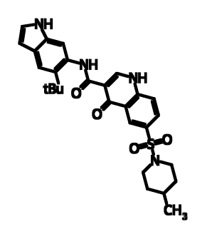 CC1CCN(S(=O)(=O)c2ccc3[nH]cc(C(=O)Nc4cc5[nH]ccc5cc4C(C)(C)C)c(=O)c3c2)CC1